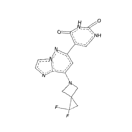 O=c1[nH]cc(-c2cc(N3CC4(C3)CC4(F)F)c3nccn3n2)c(=O)[nH]1